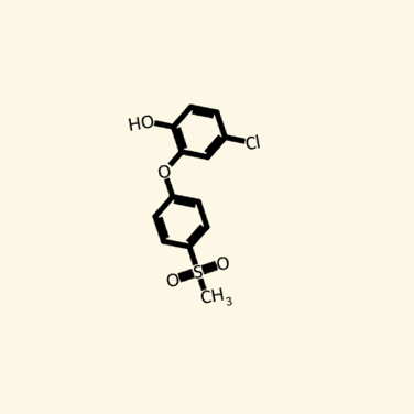 CS(=O)(=O)c1ccc(Oc2cc(Cl)ccc2O)cc1